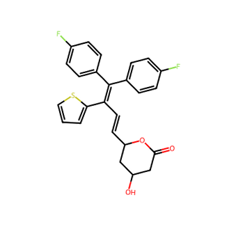 O=C1CC(O)CC(C=CC(=C(c2ccc(F)cc2)c2ccc(F)cc2)c2cccs2)O1